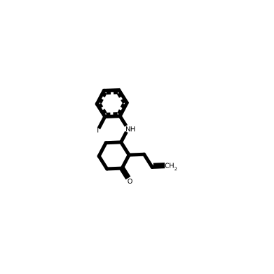 C=CCC1C(=O)CCCC1Nc1ccccc1I